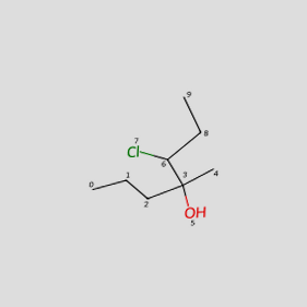 CCCC(C)(O)C(Cl)CC